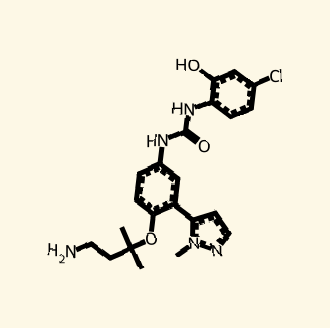 Cn1nccc1-c1cc(NC(=O)Nc2ccc(Cl)cc2O)ccc1OC(C)(C)CCN